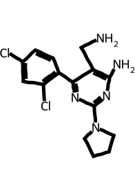 NCc1c(N)nc(N2CCCC2)nc1-c1ccc(Cl)cc1Cl